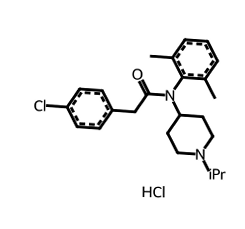 Cc1cccc(C)c1N(C(=O)Cc1ccc(Cl)cc1)C1CCN(C(C)C)CC1.Cl